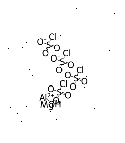 O=S(=O)([O-])Cl.O=S(=O)([O-])Cl.O=S(=O)([O-])Cl.O=S(=O)([O-])Cl.[Mg+2].[OH][Al+2]